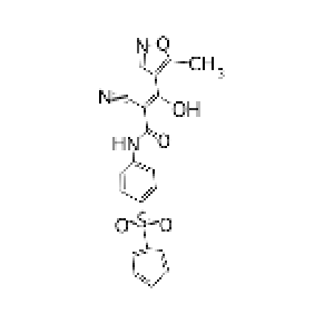 Cc1oncc1/C(O)=C(\C#N)C(=O)Nc1ccc(S(=O)(=O)c2ccccc2)cc1